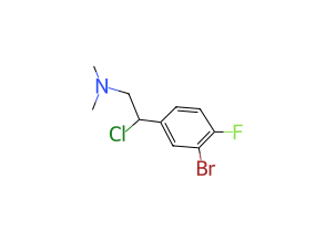 CN(C)CC(Cl)c1ccc(F)c(Br)c1